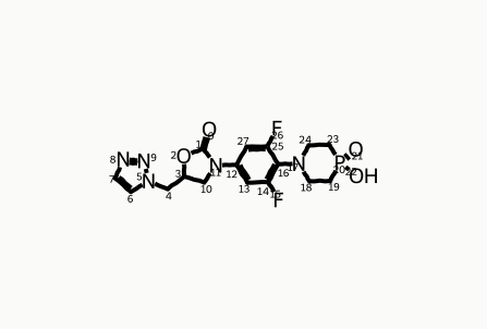 O=C1OC(Cn2ccnn2)CN1c1cc(F)c(N2CCP(=O)(O)CC2)c(F)c1